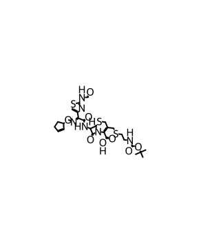 CC(C)(C)OC(=O)NCCSCC1=C(C(=O)O)N2C(=O)C(NC(=O)C(=NOC3C=CCC3)c3csc(NC=O)n3)[C@@H]2SC1